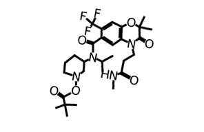 CNC(=O)CCN1C(=O)C(C)(C)Oc2cc(C(F)(F)F)c(C(=O)N(C(C)C)C3CCCN(OC(=O)C(C)(C)C)C3)cc21